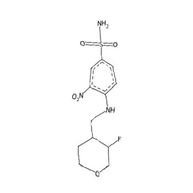 NS(=O)(=O)c1ccc(NCC2CCOCC2F)c([N+](=O)[O-])c1